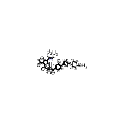 C/C=C(\C)C1CN(C(=O)C(NC(=O)c2ccc(-c3csc(N4CCN(C)CC4)n3)c(F)c2)C(C)CC)C2C(=O)COC12